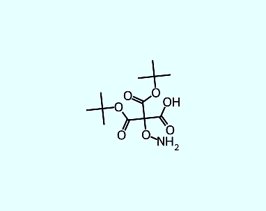 CC(C)(C)OC(=O)C(ON)(C(=O)O)C(=O)OC(C)(C)C